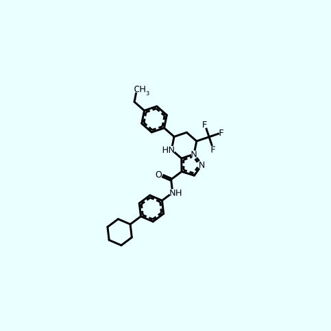 CCc1ccc(C2CC(C(F)(F)F)n3ncc(C(=O)Nc4ccc(C5CCCCC5)cc4)c3N2)cc1